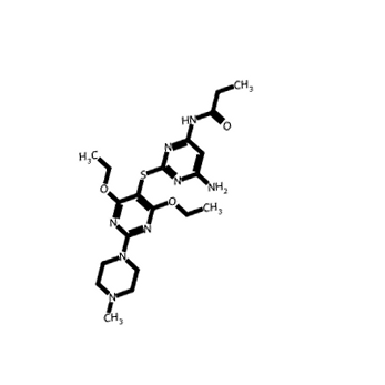 CCOc1nc(N2CCN(C)CC2)nc(OCC)c1Sc1nc(N)cc(NC(=O)CC)n1